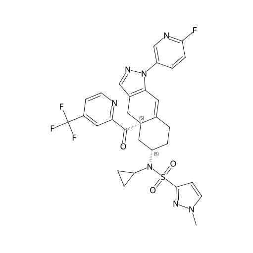 Cn1ccc(S(=O)(=O)N(C2CC2)[C@H]2CCC3=Cc4c(cnn4-c4ccc(F)nc4)C[C@]3(C(=O)c3cc(C(F)(F)F)ccn3)C2)n1